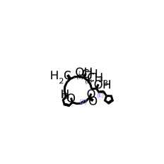 C=C1CCC[C@@H]2CC=CC(C/C=C\C(=O)OC(C(O)/C=C/C3CC=CC3)C[C@H](C)C(C)[C@@H](O)C1)O2